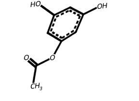 CC(=O)Oc1cc(O)cc(O)c1